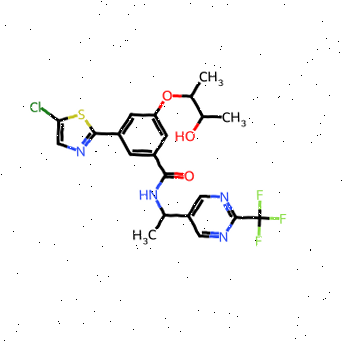 CC(NC(=O)c1cc(OC(C)C(C)O)cc(-c2ncc(Cl)s2)c1)c1cnc(C(F)(F)F)nc1